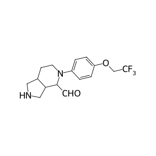 O=CC1C2CNCC2CCN1c1ccc(OCC(F)(F)F)cc1